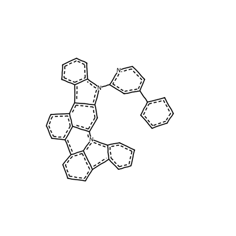 c1ccc(-c2ccnc(-n3c4ccccc4c4c5cccc6c7cccc8c9ccccc9n(c(cc43)c65)c78)c2)cc1